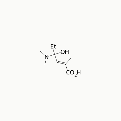 CCC(O)(C=C(C)C(=O)O)N(C)C